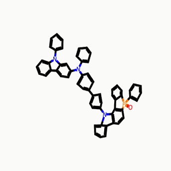 O=P1(c2ccccc2)c2ccccc2-c2c1ccc1c3ccccc3n(-c3ccc(-c4ccc(N(c5ccccc5)c5ccc6c7ccccc7n(-c7ccccc7)c6c5)cc4)cc3)c21